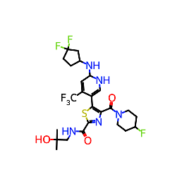 CC(C)(O)CNC(=O)c1nc(C(=O)N2CCC(F)CC2)c(C2=CNC(NC3CCC(F)(F)C3)C=C2C(F)(F)F)s1